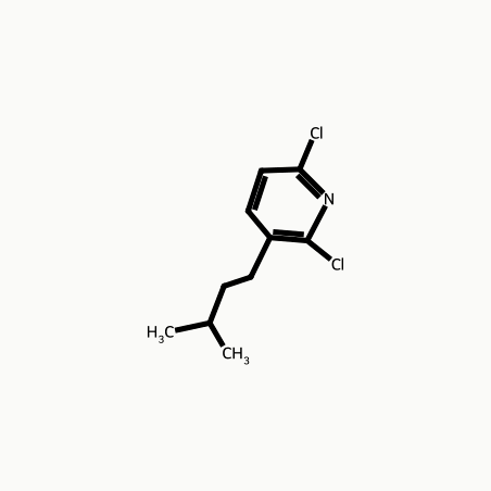 CC(C)CCc1ccc(Cl)nc1Cl